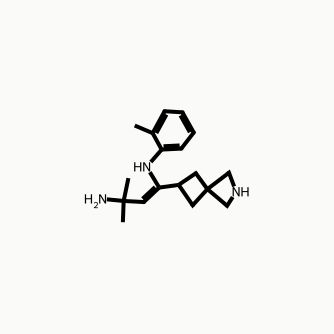 Cc1ccccc1N/C(=C\C(C)(C)N)C1CC2(CNC2)C1